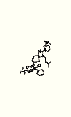 CC(C)=CCn1c(N2CCC[C@@H](N)C2)nc2ccc(N(OC(=O)C(F)(F)F)S(=O)(=O)c3ccccc3)cc21